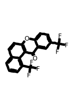 O=c1c2cc(C(F)(F)F)ccc2oc2ccc3cccc(C(F)(F)F)c3c12